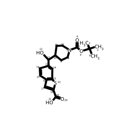 CC(C)(C)OC(=O)N1CCC(C(O)c2ccc3cc(C(=O)O)sc3c2)CC1